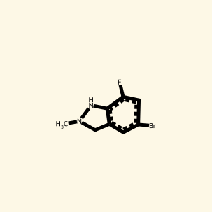 CN1Cc2cc(Br)cc(F)c2N1